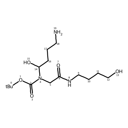 CC(C)(C)OC(=O)N(CC(=O)NCCCCO)C(O)CCCN